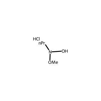 CCCN(O)OC.Cl